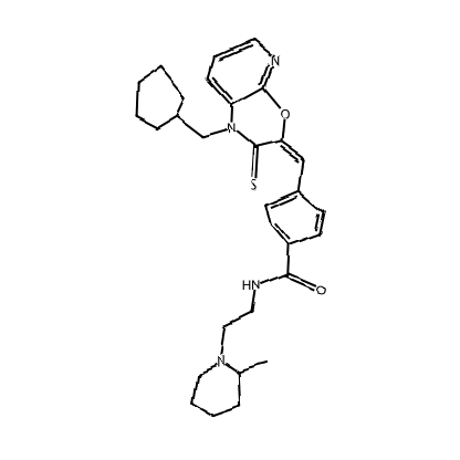 CC1CCCCN1CCNC(=O)c1ccc(C=C2Oc3ncccc3N(CC3CCCCC3)C2=S)cc1